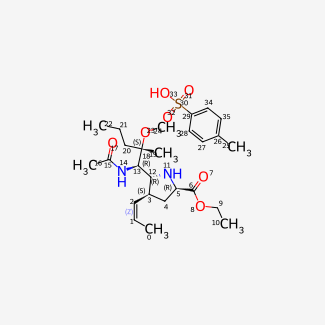 C/C=C\[C@@H]1C[C@H](C(=O)OCC)N[C@H]1[C@@H](NC(C)=O)[C@](C)(CCC)OC.Cc1ccc(S(=O)(=O)O)cc1